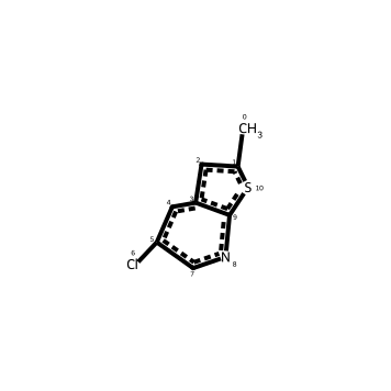 Cc1cc2cc(Cl)cnc2s1